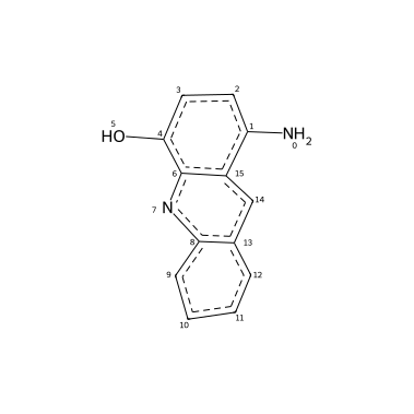 Nc1ccc(O)c2nc3ccccc3cc12